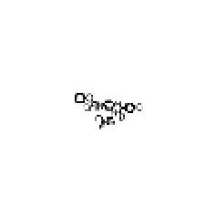 COc1ccc(-c2nc3ccc(NCCOc4ccccc4Cl)cc3n(CCNC(C)=O)c2=O)cc1